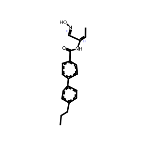 C/C=C(\C=N\O)NC(=O)c1ccc(-c2ccc(CCC)cc2)cc1